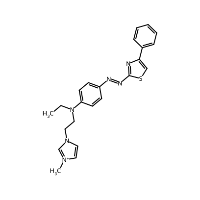 CCN(CCn1cc[n+](C)c1)c1ccc(/N=N/c2nc(-c3ccccc3)cs2)cc1